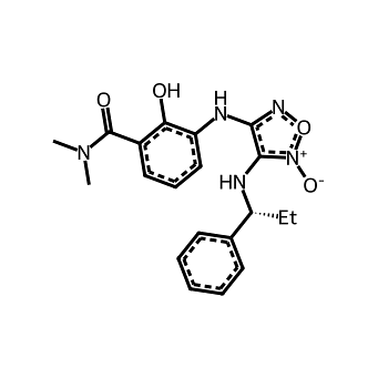 CC[C@@H](Nc1c(Nc2cccc(C(=O)N(C)C)c2O)no[n+]1[O-])c1ccccc1